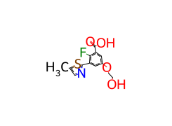 Cc1cnc(-c2cc(OCCO)cc(C(=O)O)c2F)s1